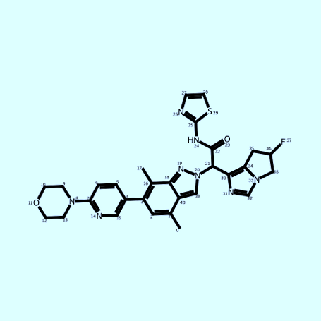 Cc1cc(-c2ccc(N3CCOCC3)nc2)c(C)c2nn(C(C(=O)Nc3nccs3)c3ncn4c3CC(F)C4)cc12